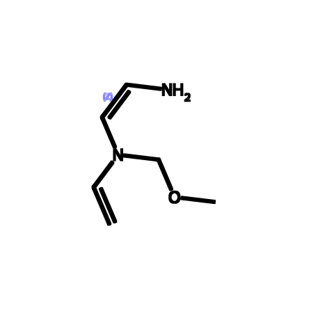 C=CN(/C=C\N)COC